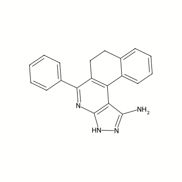 Nc1n[nH]c2nc(-c3ccccc3)c3c(c12)-c1ccccc1CC3